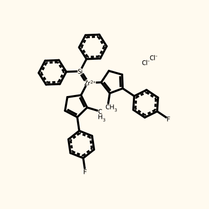 CC1=[C]([Zr+2]([C]2=C(C)C(c3ccc(F)cc3)=CC2)=[Si](c2ccccc2)c2ccccc2)CC=C1c1ccc(F)cc1.[Cl-].[Cl-]